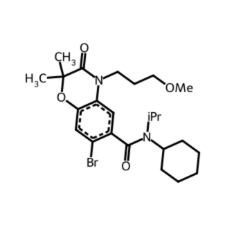 COCCCN1C(=O)C(C)(C)Oc2cc(Br)c(C(=O)N(C(C)C)C3CCCCC3)cc21